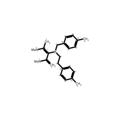 C=C(NC)/C(=C(/C)NC)N(CCc1ccc(C)cc1)Cc1ccc(C)cc1